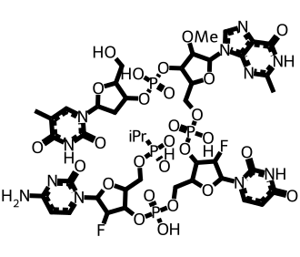 COC1C(OP(=O)(O)OC2CC(n3cc(C)c(=O)[nH]c3=O)OC2CO)C(COP(=O)(O)OC2C(COP(=O)(O)OC3C(COP(=O)(O)C(C)C)OC(n4ccc(N)nc4=O)C3F)OC(n3ccc(=O)[nH]c3=O)C2F)OC1n1cnc2c(=O)[nH]c(C)nc21